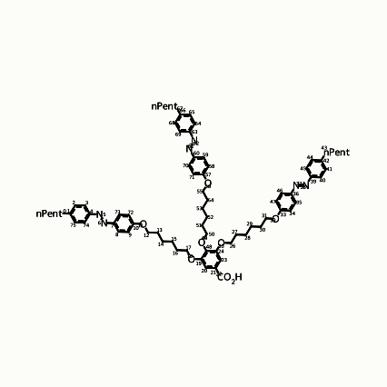 CCCCCc1ccc(N=Nc2ccc(OCCCCCCOc3cc(C(=O)O)cc(OCCCCCCOc4ccc(N=Nc5ccc(CCCCC)cc5)cc4)c3OCCCCCCOc3ccc(N=Nc4ccc(CCCCC)cc4)cc3)cc2)cc1